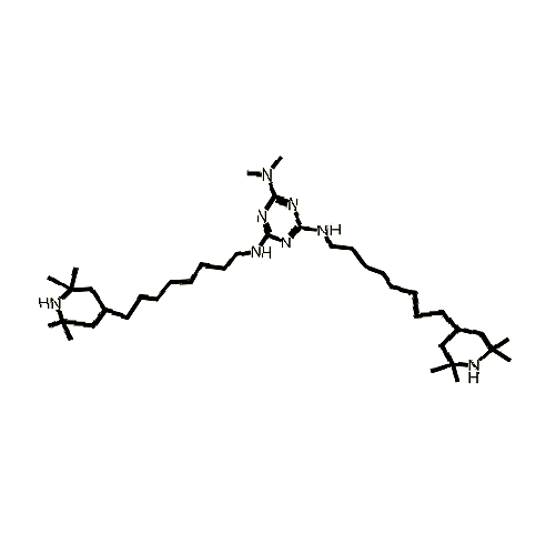 CN(C)c1nc(NCCCCCCCCC2CC(C)(C)NC(C)(C)C2)nc(NCCCCCCCCC2CC(C)(C)NC(C)(C)C2)n1